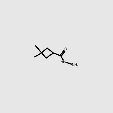 CC1(C)CC(C(=O)NN)C1